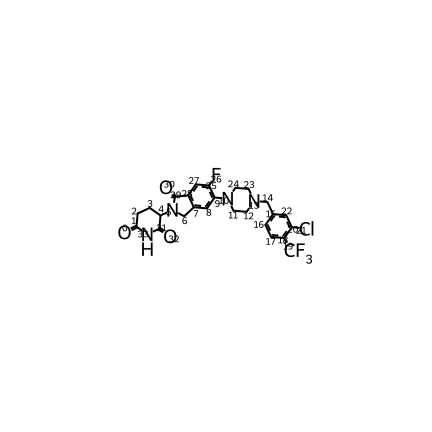 O=C1CCC(N2Cc3cc(N4CCN(Cc5ccc(C(F)(F)F)c(Cl)c5)CC4)c(F)cc3C2=O)C(=O)N1